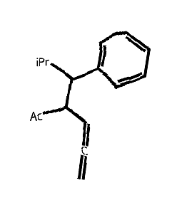 C=C=CC(C(C)=O)C(c1ccccc1)C(C)C